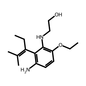 CCOc1ccc(N)c(C(CC)=C(C)C)c1NCCO